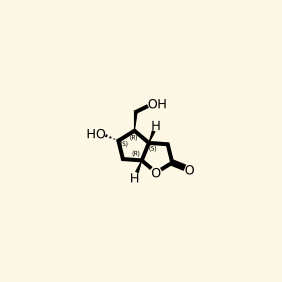 O=C1C[C@H]2[C@H](CO)[C@@H](O)C[C@H]2O1